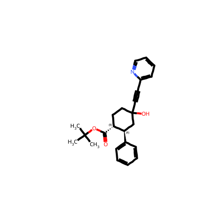 CC(C)(C)OC(=O)[C@@H]1CCC(O)(C#Cc2ccccn2)C[C@H]1c1ccccc1